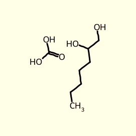 CCCCCC(O)CO.O=C(O)O